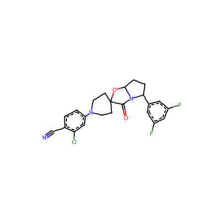 N#Cc1ccc(N2CCC3(CC2)OC2CCC(c4cc(F)cc(F)c4)N2C3=O)cc1Cl